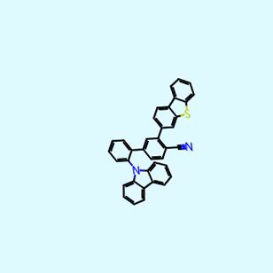 N#Cc1ccc(-c2ccccc2-n2c3ccccc3c3ccccc32)cc1-c1ccc2c(c1)sc1ccccc12